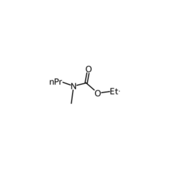 C[CH]OC(=O)N(C)CCC